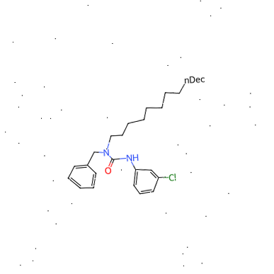 CCCCCCCCCCCCCCCCCCN(Cc1ccccc1)C(=O)Nc1cccc(Cl)c1